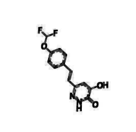 O=c1[nH]nc(C=Cc2ccc(OC(F)F)cc2)cc1O